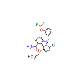 NC(=O)c1cccc2c1c1c(OCC(=O)O)ccc(Cl)c1n2Cc1cccc(OC(F)F)c1